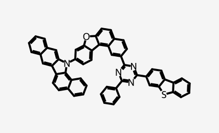 c1ccc(-c2nc(-c3ccc4c(c3)sc3ccccc34)nc(-c3ccc4ccc5oc6cc(-n7c8cc9ccccc9cc8c8ccc9ccccc9c87)ccc6c5c4c3)n2)cc1